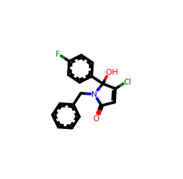 O=C1C=C(Cl)C(O)(c2ccc(F)cc2)N1Cc1ccccc1